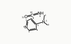 CN(C)c1ccncc1.N=C=O